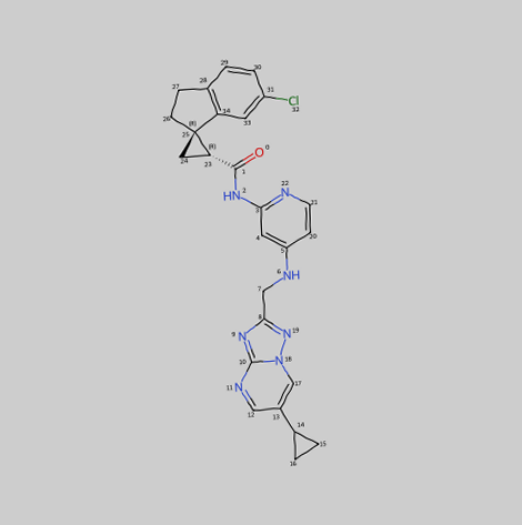 O=C(Nc1cc(NCc2nc3ncc(C4CC4)cn3n2)ccn1)[C@@H]1C[C@]12CCc1ccc(Cl)cc12